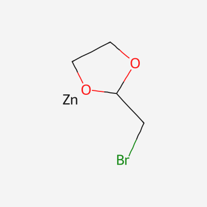 BrCC1OCCO1.[Zn]